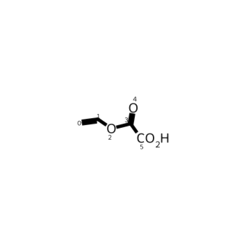 C=COC(=O)C(=O)O